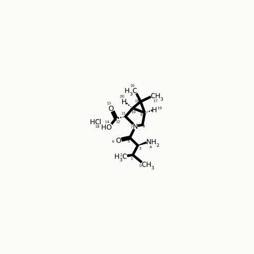 CC(C)[C@H](N)C(=O)N1C[C@H]2[C@@H]([C@H]1C(=O)O)C2(C)C.Cl